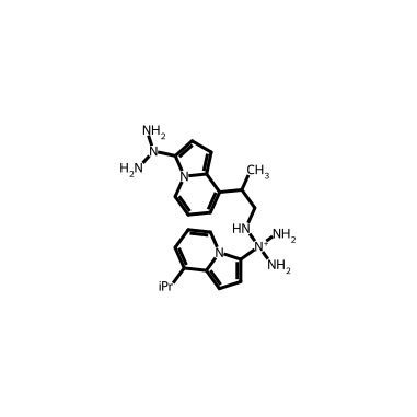 CC(C)c1cccn2c([N+](N)(N)NCC(C)c3cccn4c(N(N)N)ccc34)ccc12